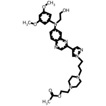 COc1cc(OC)cc(N(CCO)c2ccc3ncc(-c4cnn(CCCN5CCN(CCOC(C)=O)CC5)c4)nc3c2)c1